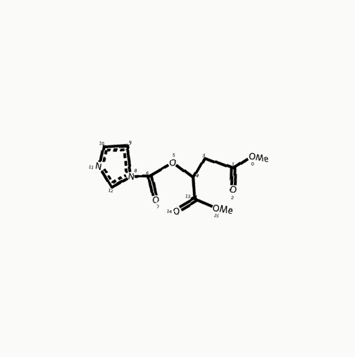 COC(=O)CC(OC(=O)n1ccnc1)C(=O)OC